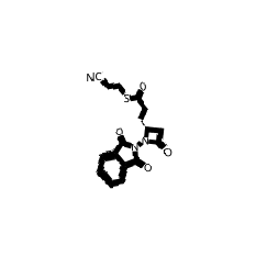 N#CCCSC(=O)CC[C@@H]1CC(=O)N1N1C(=O)c2ccccc2C1=O